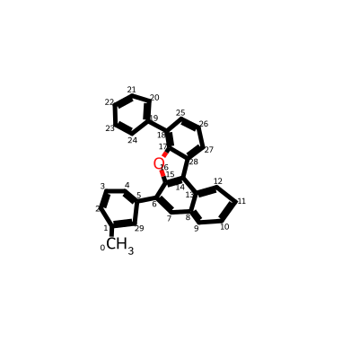 Cc1cccc(-c2cc3ccccc3c3c2oc2c(-c4ccccc4)cccc23)c1